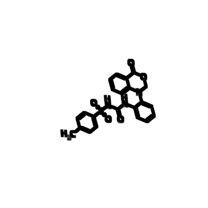 Cc1ccc(S(=O)(=O)NC(=O)Nc2ccccc2N2COC(=O)c3ccccc32)cc1